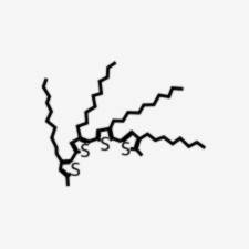 CCCCCCCCCCc1cc(C)sc1-c1cc(CCCCCCCCCC)c(-c2cc(CCCCCCCCCC)c(-c3cc(CCCCCCCC)c(C)s3)s2)s1